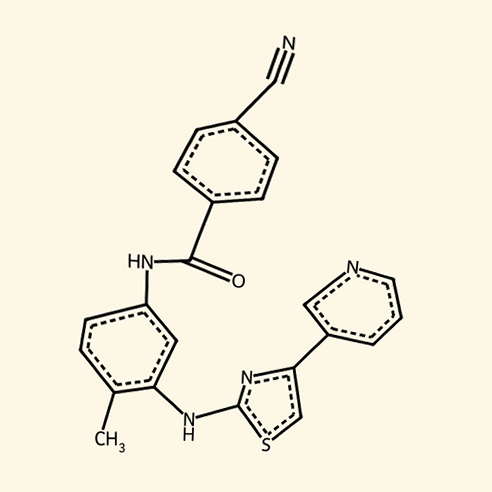 Cc1ccc(NC(=O)c2ccc(C#N)cc2)cc1Nc1nc(-c2cccnc2)cs1